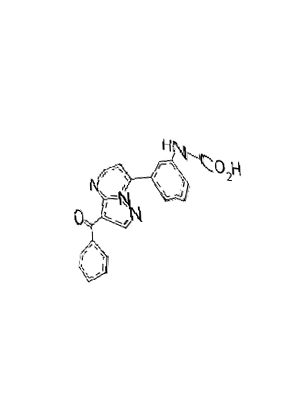 O=C(O)Nc1cccc(-c2ccnc3c(C(=O)c4ccccc4)cnn23)c1